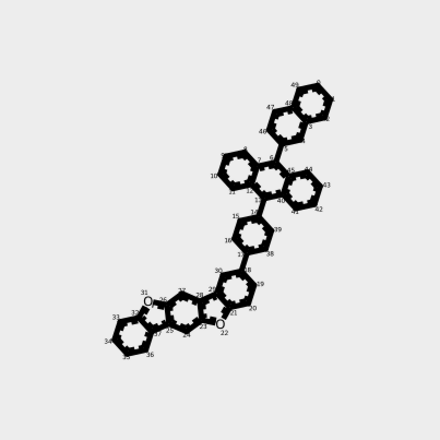 c1ccc2cc(-c3c4ccccc4c(-c4ccc(-c5ccc6oc7cc8c(cc7c6c5)oc5ccccc58)cc4)c4ccccc34)ccc2c1